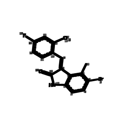 Cc1c(Br)ccc2c1C(=Cc1ccc(F)cc1C(F)(F)F)C(=O)N2